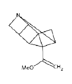 C=C(OC)C12C3CC14C1C(CN13)C42